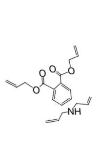 C=CCNCC=C.C=CCOC(=O)c1ccccc1C(=O)OCC=C